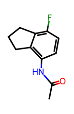 CC(=O)Nc1ccc(F)c2c1CCC2